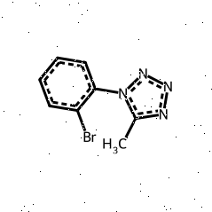 Cc1nnnn1-c1ccccc1Br